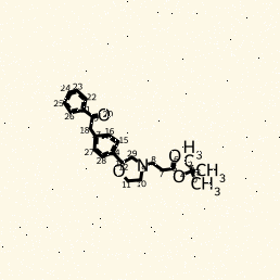 CC(C)(C)OC(=O)CCN1CCOC(c2ccc(CC(=O)c3ccccc3)cc2)C1